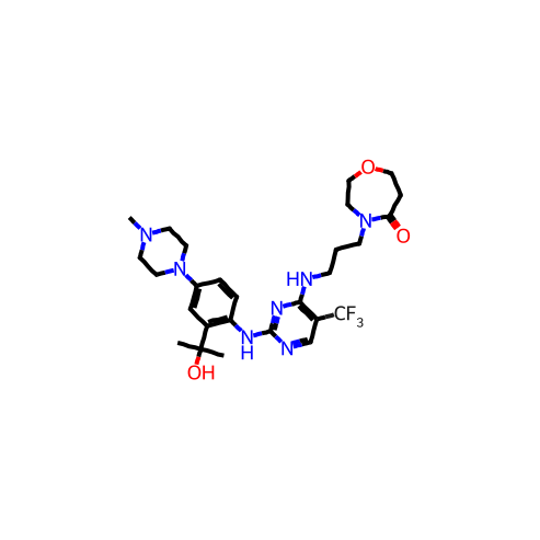 CN1CCN(c2ccc(Nc3ncc(C(F)(F)F)c(NCCCN4CCOCCC4=O)n3)c(C(C)(C)O)c2)CC1